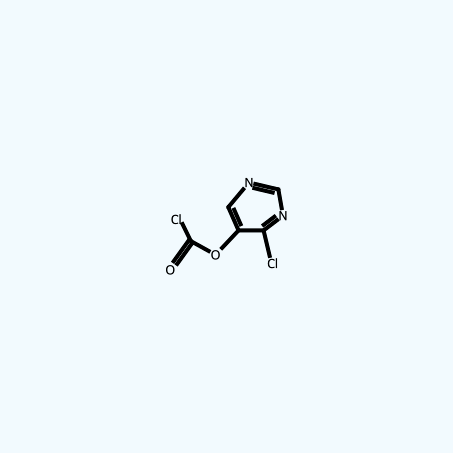 O=C(Cl)Oc1cncnc1Cl